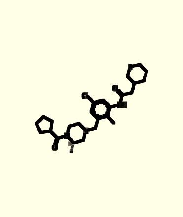 Cc1c(CN2CCN(C(=O)C3CCCC3)[C@@H](C)C2)cc(Cl)cc1NC(=O)CC1CCCSC1